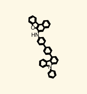 c1ccc(-n2c3ccccc3c3c(-c4ccc(-c5ccc(Nc6cc7ccccc7c7c6oc6ccccc67)cc5)cc4)cccc32)cc1